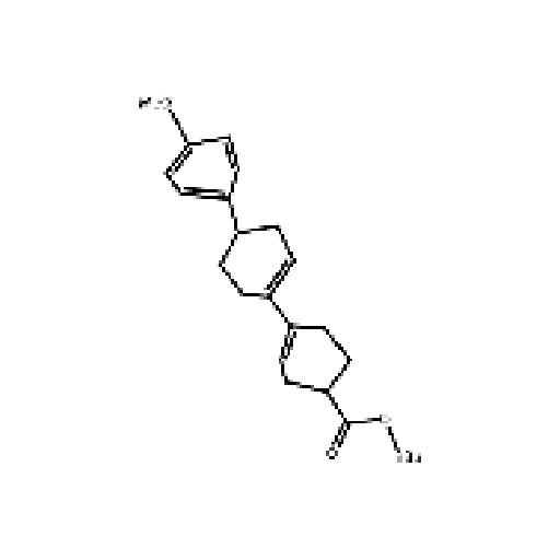 CCCCOC(=O)C1CC=C(C2=CCC(c3ccc(OC)cc3)CC2)CC1